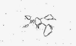 O=[N+]([O-])O.c1cncc(-c2cccnc2-c2cccnc2)c1